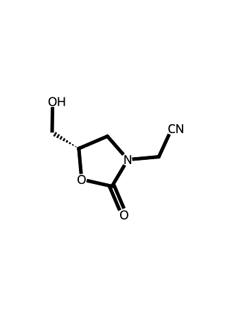 N#CCN1C[C@@H](CO)OC1=O